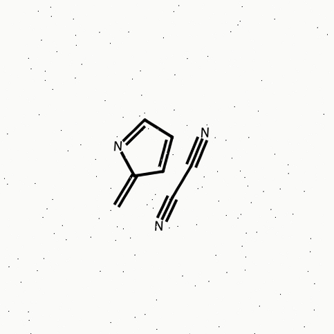 C=C1C=CC=N1.N#CC#N